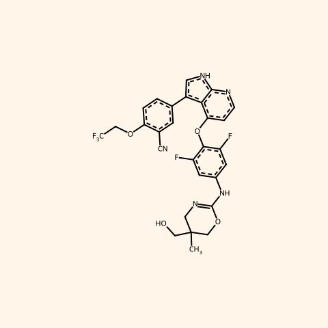 CC1(CO)CN=C(Nc2cc(F)c(Oc3ccnc4[nH]cc(-c5ccc(OCC(F)(F)F)c(C#N)c5)c34)c(F)c2)OC1